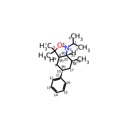 CC(C)N1OC(C)(C)[C@@H]2C[C@H](c3ccccc3)C[C@H](C)[C@H]21